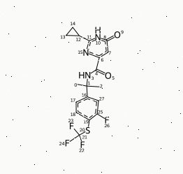 CC(C)(NC(=O)c1cc(=O)[nH]c(C2CC2)n1)c1ccc(SC(F)(F)F)c(F)c1